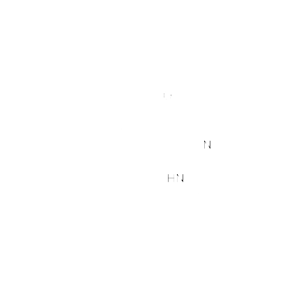 O=C(c1ncc[nH]1)C1CCCCC1